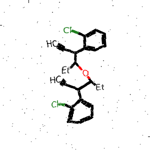 C#CC(c1ccccc1Cl)C(CC)OC(CC)C(C#C)c1ccccc1Cl